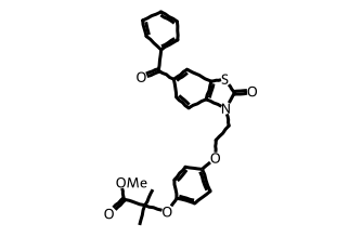 COC(=O)C(C)(C)Oc1ccc(OCCn2c(=O)sc3cc(C(=O)c4ccccc4)ccc32)cc1